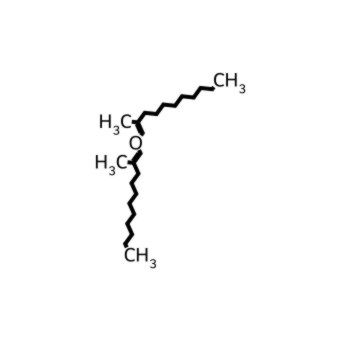 CCCCCCCCC/C(C)=C/O/C=C(\C)CCCCCCCCC